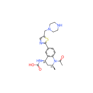 CC(=O)N1c2ccc(-c3ncc(CN4CCNCC4)s3)cc2[C@H](NC(=O)O)C[C@@H]1C